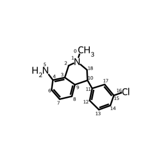 CN1Cc2c(N)cccc2C(c2cccc(Cl)c2)C1